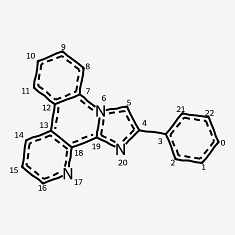 c1ccc(-c2cn3c4ccccc4c4cccnc4c3n2)cc1